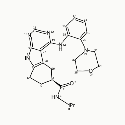 CC(C)NC(=O)[C@H]1CCc2[nH]c3ncnc(Nc4ccccc4N4CCOCC4)c3c2C1